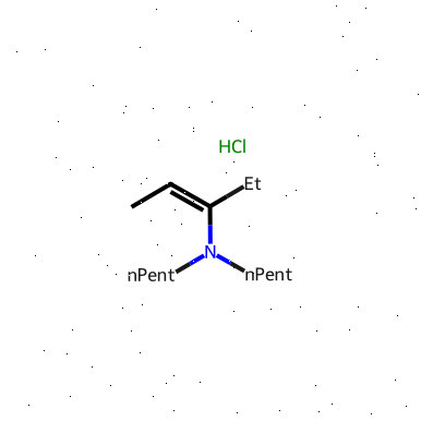 CC=C(CC)N(CCCCC)CCCCC.Cl